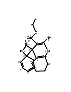 CCOC(=O)C1=C(N)NC2=C(CCCC2)C12C(=O)NC21C=CC=CC1